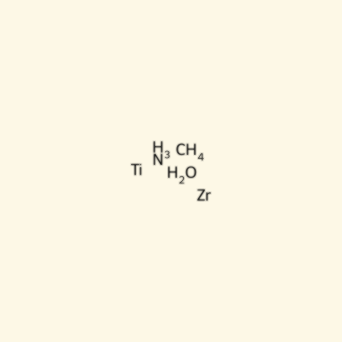 C.N.O.[Ti].[Zr]